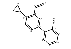 O=Cc1cc(-c2ccccc2Cl)ccc1C1CC1